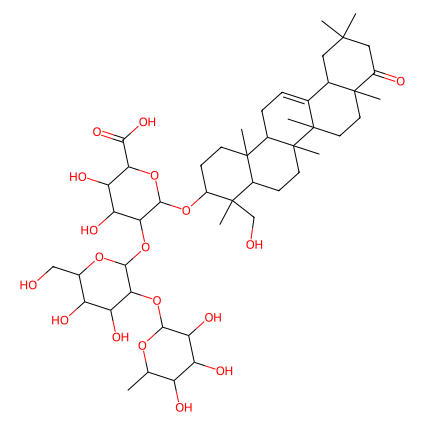 CC1OC(OC2C(OC3C(OC4CCC5(C)C(CCC6(C)C5CC=C5C7CC(C)(C)CC(=O)C7(C)CCC56C)C4(C)CO)OC(C(=O)O)C(O)C3O)OC(CO)C(O)C2O)C(O)C(O)C1O